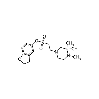 CN1CCN(CCS(=O)(=O)Oc2ccc3c(c2)CCO3)CC1(C)C